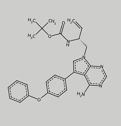 C=C[C@H](Cn1cc(-c2ccc(Oc3ccccc3)cc2)c2c(N)ncnc21)NC(=O)OC(C)(C)C